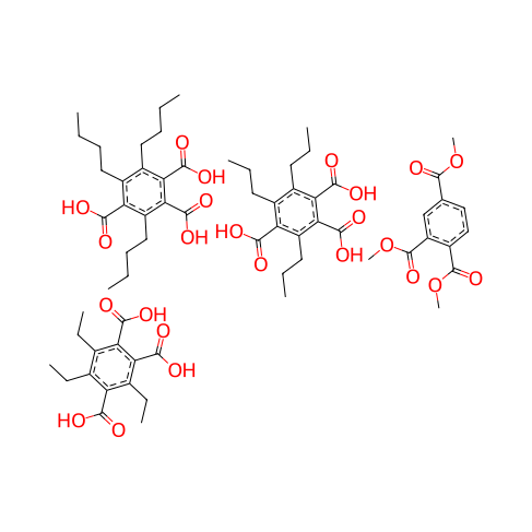 CCCCc1c(CCCC)c(C(=O)O)c(C(=O)O)c(CCCC)c1C(=O)O.CCCc1c(CCC)c(C(=O)O)c(C(=O)O)c(CCC)c1C(=O)O.CCc1c(CC)c(C(=O)O)c(C(=O)O)c(CC)c1C(=O)O.COC(=O)c1ccc(C(=O)OC)c(C(=O)OC)c1